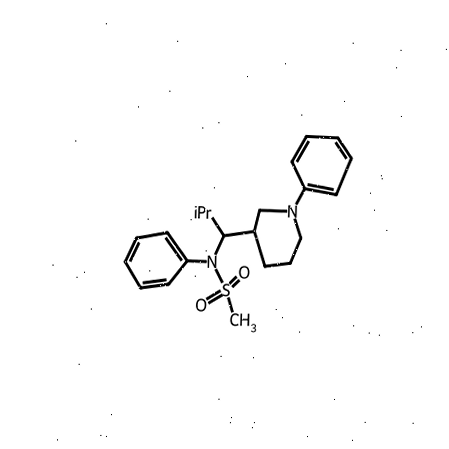 CC(C)C(C1CCCN(c2ccccc2)C1)N(c1ccccc1)S(C)(=O)=O